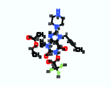 CC#CCn1c(N2CCNCC2)nc2c1c(=O)n(OC(=O)C(F)(F)F)c(=O)n2C.CCOC(C)=O